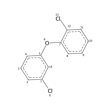 Clc1cccc(Oc2cc[c]cc2Cl)c1